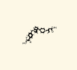 CC(CC(=O)O)N1CCC(c2ccnc3c2ccn3Cc2ccc(C(=O)NO)cc2)CC1